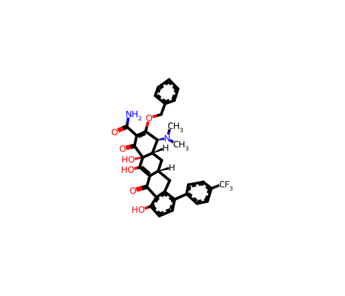 CN(C)[C@@H]1C(OCc2ccccc2)=C(C(N)=O)C(=O)[C@@]2(O)C(O)=C3C(=O)c4c(O)ccc(-c5ccc(C(F)(F)F)cc5)c4C[C@H]3C[C@@H]12